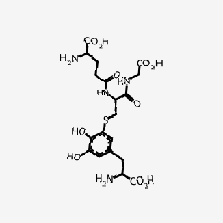 NC(CCC(=O)NC(CSc1cc(CC(N)C(=O)O)cc(O)c1O)C(=O)NCC(=O)O)C(=O)O